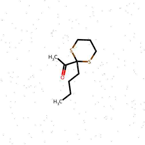 CCCCC1(C(C)=O)SCCCS1